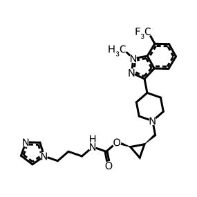 Cn1nc(C2CCN(C[C@H]3C[C@H]3OC(=O)NCCCn3ccnc3)CC2)c2cccc(C(F)(F)F)c21